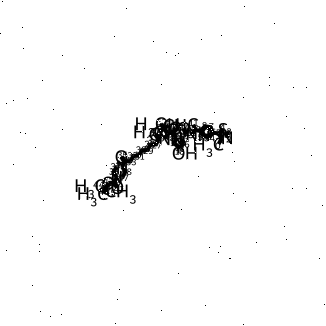 Cc1ncsc1-c1ccc(C(C)NC(=O)[C@@H]2C[C@@H](O)CN2C(=O)C(NC(=O)CCCCCCCC(=O)N2CCN(C(=O)OC(C)(C)C)CC2)C(C)(C)C)cc1